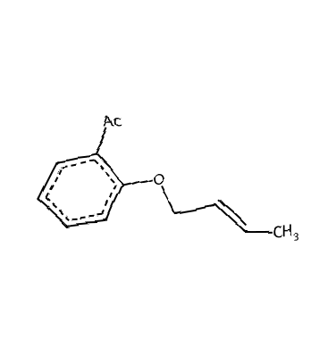 CC=CCOc1ccccc1C(C)=O